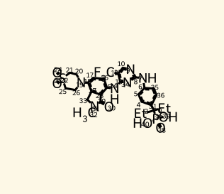 CCC(CC)(c1ccc(Nc2ncc(C(F)(F)F)c(Nc3ccc(N4CCS(=O)(=O)CC4)c4c3C(=O)N(C)C4)n2)cc1)P(=O)(O)O